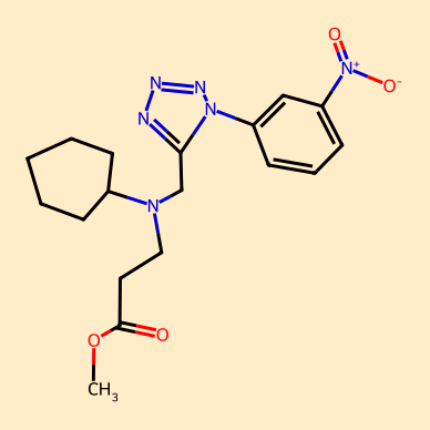 COC(=O)CCN(Cc1nnnn1-c1cccc([N+](=O)[O-])c1)C1CCCCC1